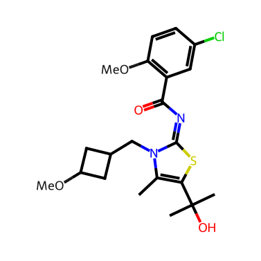 COc1ccc(Cl)cc1C(=O)N=c1sc(C(C)(C)O)c(C)n1CC1CC(OC)C1